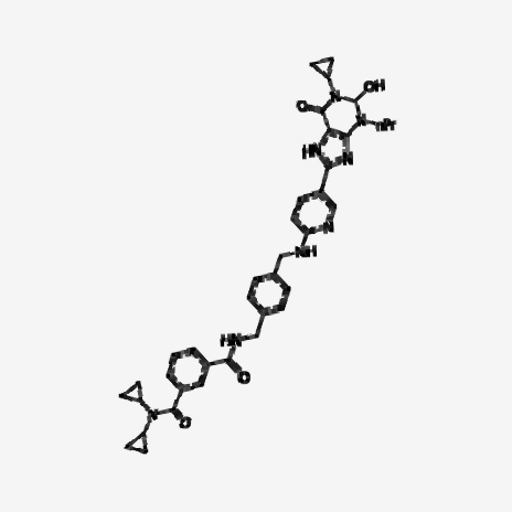 CCCN1c2nc(-c3ccc(NCc4ccc(CNC(=O)c5cccc(C(=O)N(C6CC6)C6CC6)c5)cc4)nc3)[nH]c2C(=O)N(C2CC2)C1O